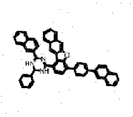 c1ccc(C2NC(c3ccc(-c4ccc(-c5ccc6ccccc6c5)cc4)c4oc5cc6ccccc6cc5c34)=NC(c3ccc4ccccc4c3)N2)cc1